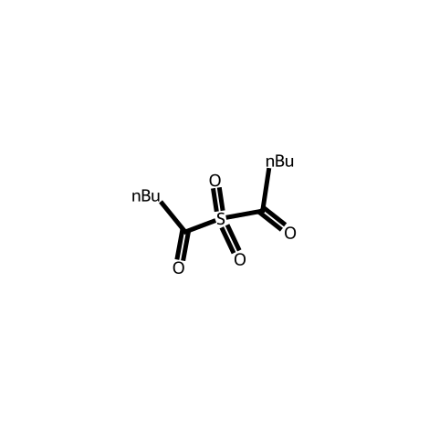 CCCCC(=O)S(=O)(=O)C(=O)CCCC